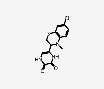 CN1c2ccc(Cl)cc2SCC1c1c[nH]c(=O)c(=O)[nH]1